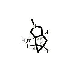 CN1C[C@H]2C[C@@H]3C[C@@H]3[C@@]2(N)C1